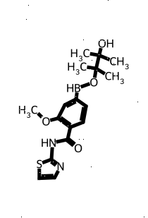 COc1cc(BOC(C)(C)C(C)(C)O)ccc1C(=O)Nc1nccs1